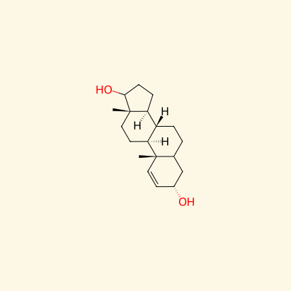 C[C@]12C=C[C@@H](O)CC1CC[C@@H]1[C@@H]2CC[C@]2(C)C(O)CC[C@@H]12